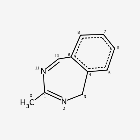 CC1=NCc2ccccc2C=N1